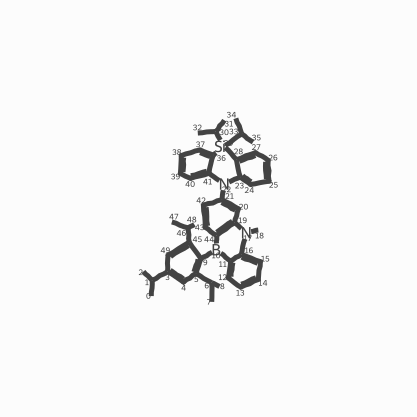 CC(C)c1cc(C(C)C)c(B2c3ccccc3N(C)c3cc(N4c5ccccc5[Si](C(C)C)(C(C)C)c5ccccc54)ccc32)c(C(C)C)c1